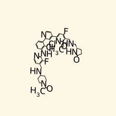 COc1nc(-c2ccnc(-c3cccc(Nc4nccc(CNC5CCN(C(C)=O)CC5)c4F)c3Cl)c2Cl)cc(F)c1CNC[C@H]1CCC(=O)N1